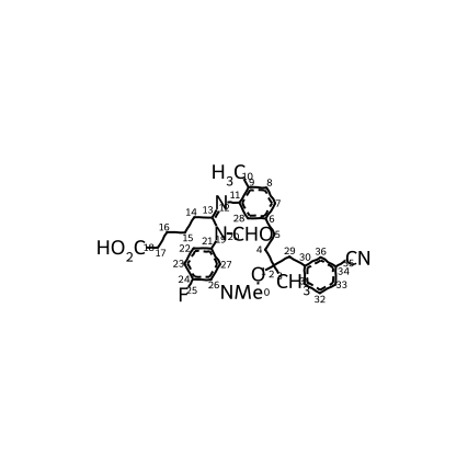 CNOC(C)(CCc1ccc(C)c(/N=C(/CCCCC(=O)O)N(C=O)c2ccc(F)cc2)c1)Cc1cccc(C#N)c1